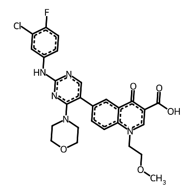 COCCn1cc(C(=O)O)c(=O)c2cc(-c3cnc(Nc4ccc(F)c(Cl)c4)nc3N3CCOCC3)ccc21